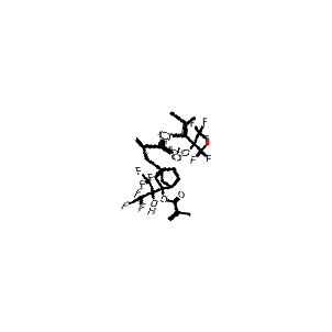 C=C(C)C(=O)OC1(C(O)(C(F)(F)F)C(F)(F)F)CC2(CC(=C)C(=O)OC(C(C)C)C(O)(C(F)(F)F)C(F)(F)F)CCC1C2